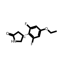 CCOc1cc(F)c([C@@H]2CNC(=O)C2)c(F)c1